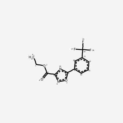 CCOC(=O)c1noc(-c2cccc(C(F)(F)F)c2)n1